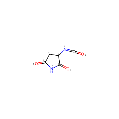 O=C=NC1CC(=O)NC1=O